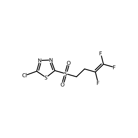 O=S(=O)(CCC(F)=C(F)F)c1nnc(Cl)s1